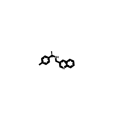 Cc1ccc([C@@H](C)NCc2cnc3ccccc3c2)cc1